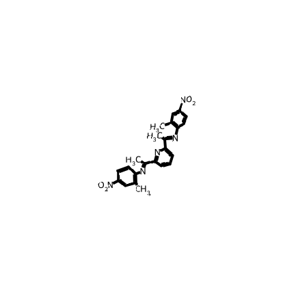 C/C(=N\c1ccc([N+](=O)[O-])cc1C)c1cccc(/C(C)=N/c2ccc([N+](=O)[O-])cc2C)n1